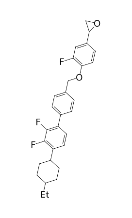 CCC1CCC(c2ccc(-c3ccc(COc4ccc(C5CO5)cc4F)cc3)c(F)c2F)CC1